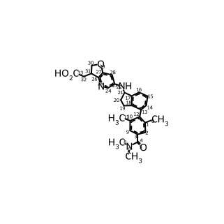 Cc1cc(C(=O)N(C)C)cc(C)c1-c1cccc2c1CC[C@H]2Nc1cnc2c(c1)OCC2CC(=O)O